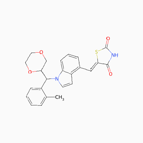 Cc1ccccc1C(C1COCCO1)n1ccc2c(C=C3SC(=O)NC3=O)cccc21